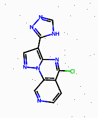 Clc1nc2c(-c3nnc[nH]3)cnn2c2cnccc12